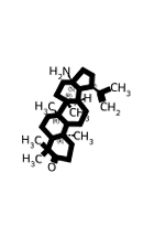 C=C(C)[C@@H]1CC[C@]2(N)CC[C@]3(C)[C@H](CCC4[C@@]5(C)CCC(=O)C(C)(C)C5CC[C@]43C)C12